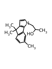 Cc1ccc2c(c1)-c1c(ccn1CC(C)O)C2(C)C